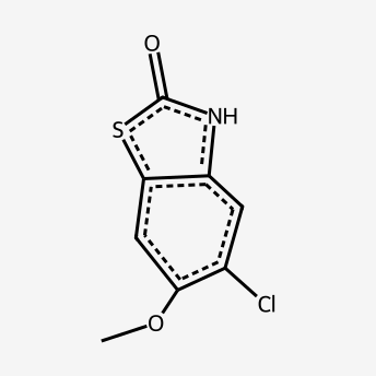 COc1cc2sc(=O)[nH]c2cc1Cl